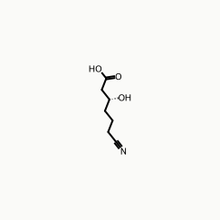 N#CCCC[C@@H](O)CC(=O)O